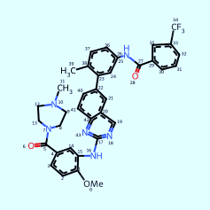 COc1ccc(C(=O)N2CCN(C)CC2)cc1Nc1ncc2cc(-c3cc(NC(=O)c4cccc(C(F)(F)F)c4)ccc3C)ccc2n1